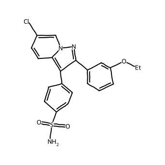 CCOc1cccc(-c2nn3cc(Cl)ccc3c2-c2ccc(S(N)(=O)=O)cc2)c1